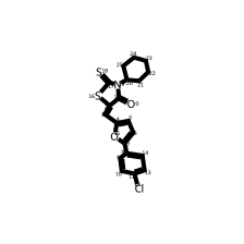 O=C1/C(=C\c2ccc(-c3ccc(Cl)cc3)o2)SC(=S)N1C1CCCCC1